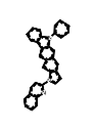 c1ccc(-n2c3ccccc3c3cc4cc5c(ccn5-c5ccc6ccccc6n5)cc4cc32)cc1